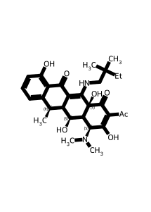 CCC(C)(C)CNC1=C2C(=O)c3c(O)cccc3[C@H](C)C2[C@H](O)C2[C@H](N(C)C)C(O)=C(C(C)=O)C(=O)[C@@]12O